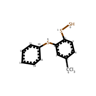 SSc1ccc(C(Cl)(Cl)Cl)cc1Sc1ccccc1